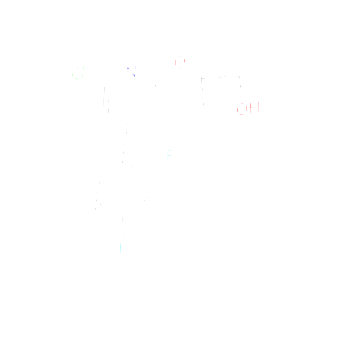 CC1(CO)CCc2c(-c3ccc(F)cc3F)cc(Cl)nc2O1